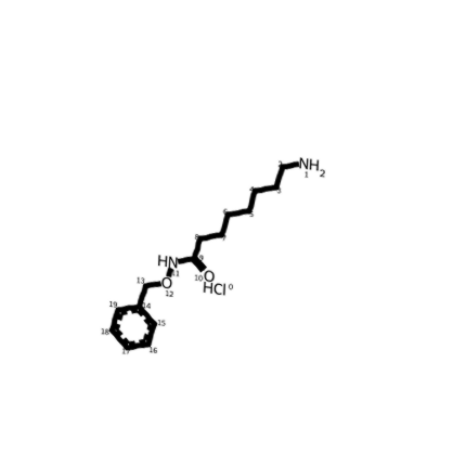 Cl.NCCCCCCCC(=O)NOCc1ccccc1